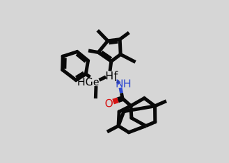 CC1=C(C)C(C)[C]([Hf]([NH]C(=O)C23CC4CC(C)(CC(C)(C4)C2)C3)[GeH]([CH3])[c]2ccccc2)=C1C